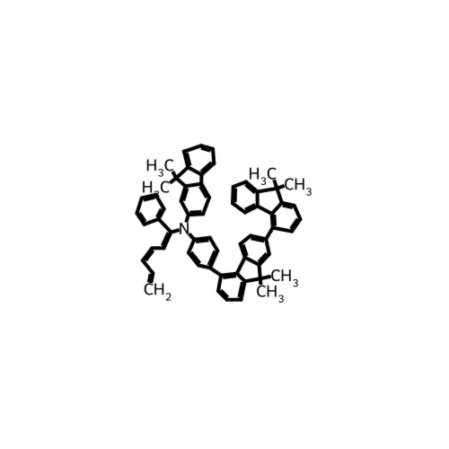 C=C/C=C\C=C(/c1ccccc1)N(c1ccc(-c2cccc3c2-c2ccc(-c4cccc5c4-c4ccccc4C5(C)C)cc2C3(C)C)cc1)c1ccc2c(c1)C(C)(C)c1ccccc1-2